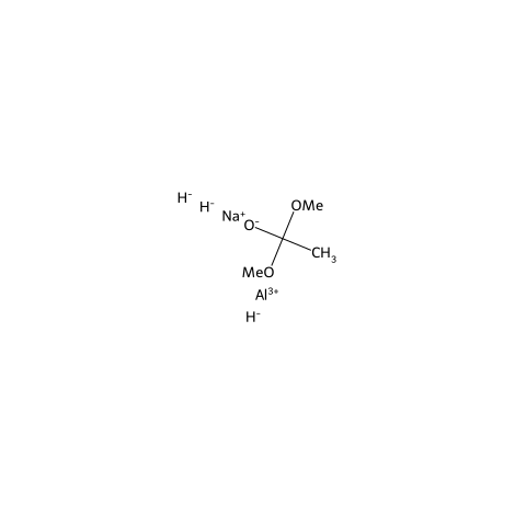 COC(C)([O-])OC.[Al+3].[H-].[H-].[H-].[Na+]